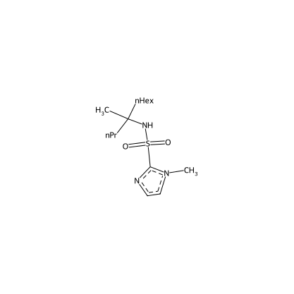 CCCCCCC(C)(CCC)NS(=O)(=O)c1nccn1C